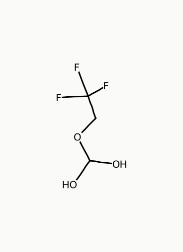 OC(O)OCC(F)(F)F